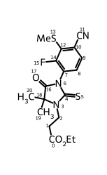 CCOC(=O)CCN1C(=S)N(c2ccc(C#N)c(SC)c2F)C(=O)C1(C)C